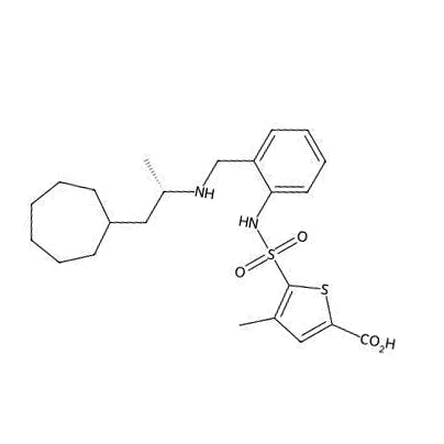 Cc1cc(C(=O)O)sc1S(=O)(=O)Nc1ccccc1CN[C@@H](C)CC1CCCCCC1